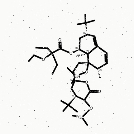 CCOC(CC)(CC)C(=O)O[C@H]1C[C@H](C(C)(C)C)C=C2C=C[C@H](C)[C@](CC[C@@H]3C[C@H](C(C)(C)C)C(O[SiH](C)C)C(=O)O3)(O[SiH](C)C)[C@H]21